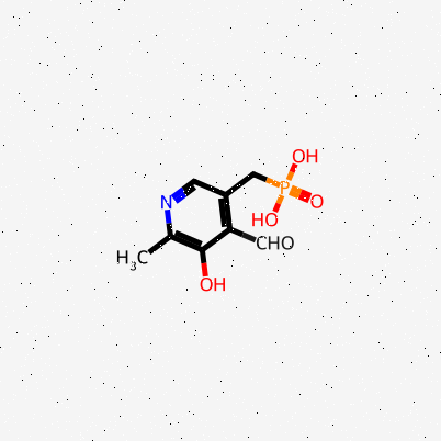 Cc1ncc(CP(=O)(O)O)c(C=O)c1O